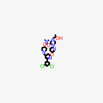 CC(O)CN1CCN(c2ccc(Oc3cc(CN4CCC(OC(=O)N(C)C)CC4)cc(-c4cc(Cl)cc(Cl)c4)n3)cn2)CC1